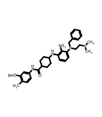 COc1cc(NC(=O)C2CCC(Nc3cccc(N(CCN(C)C)Cc4ccccc4)c3[N+](=O)[O-])CC2)ccc1C